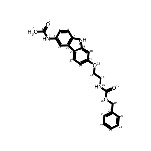 CC(=O)Nc1ccc2[nH]c3cc(OCCNC(=O)OCc4ccccc4)ccc3c2c1